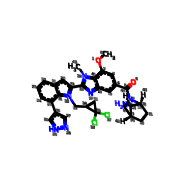 COc1cc(C(=O)N2C[C@H]3CC[C@@H]2[C@@H]3N)cc2nc(-c3cc4cccc(-c5cn[nH]c5)c4n3CC3CC3(Cl)Cl)n(C)c12